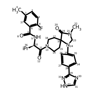 Cc1ccc(F)c(C(=O)N[C@@H](C(=O)N2CCC3(CC2)C(=O)N(C)CN3c2ccc(-c3nc[nH]n3)cc2)C(C)C)c1